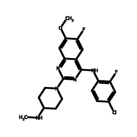 CNC1CCN(c2nc(Nc3ccc(Cl)cc3F)c3cc(F)c(OC)cc3n2)CC1